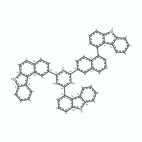 c1cc(-c2cccc3oc4ccccc4c23)c2ccc(-c3nc(-c4ccc5ccc6oc7ccccc7c6c5c4)nc(-c4cccc5oc6ccccc6c45)n3)cc2c1